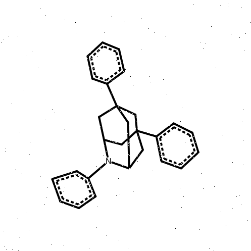 c1ccc(N2C3CC4(c5ccccc5)CC2CC(c2ccccc2)(C3)C4)cc1